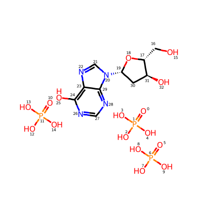 O=P(O)(O)O.O=P(O)(O)O.O=P(O)(O)O.OC[C@H]1O[C@@H](n2cnc3c(O)ncnc32)C[C@@H]1O